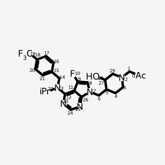 CC(=O)CN1CCC(Cn2cc(F)c3c(N(Cc4ccc(C(F)(F)F)cc4)C(C)C)ncnc32)C(O)C1